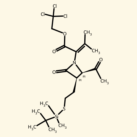 CC(=O)[C@H]1[C@@H](CCS[Si](C)(C)C(C)(C)C)C(=O)N1C(C(=O)OCC(Cl)(Cl)Cl)=C(C)C